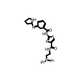 CC(C)N(CCNC(=O)c1csc(NC(=O)C2=CC=C/C(=N\C3CCCN3)C2)n1)C(C)C